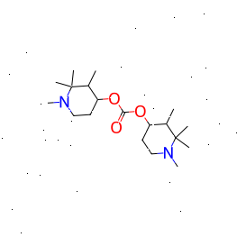 CC1C(OC(=O)OC2CCN(C)C(C)(C)C2C)CCN(C)C1(C)C